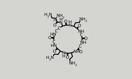 NCCC1NC(=O)CNC(=O)CNC(=O)C(CCN)NC(=O)C(NC(=O)[C@H](N)CN)CCNC(=O)CNC(=O)C(CCN)NC1=O